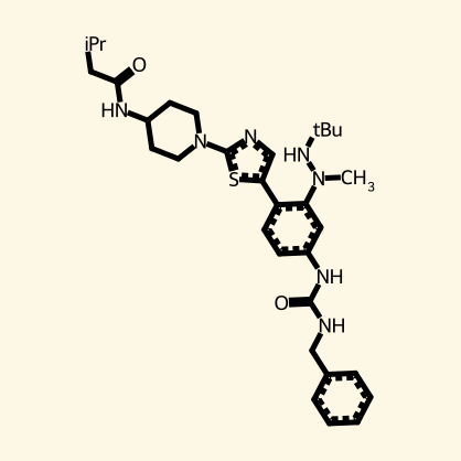 CC(C)CC(=O)NC1CCN(c2ncc(-c3ccc(NC(=O)NCc4ccccc4)cc3N(C)NC(C)(C)C)s2)CC1